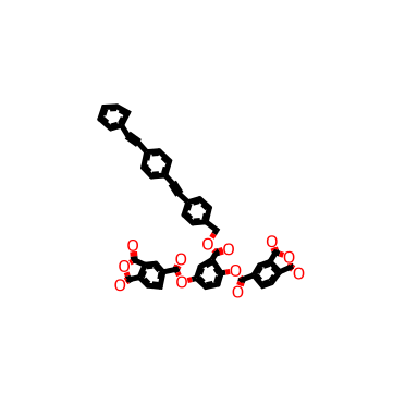 O=C(Oc1ccc(OC(=O)c2ccc3c(c2)C(=O)OC3=O)c(C(=O)OCc2ccc(C#Cc3ccc(C#Cc4ccccc4)cc3)cc2)c1)c1ccc2c(c1)C(=O)OC2=O